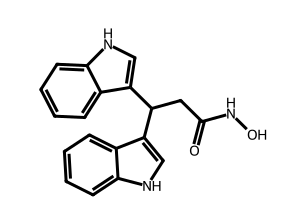 O=C(CC(c1c[nH]c2ccccc12)c1c[nH]c2ccccc12)NO